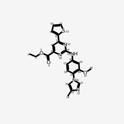 CCOC(=O)c1cc(-c2cccs2)nc(Nc2ccc(-n3cnc(C)c3)c(OC)c2)n1